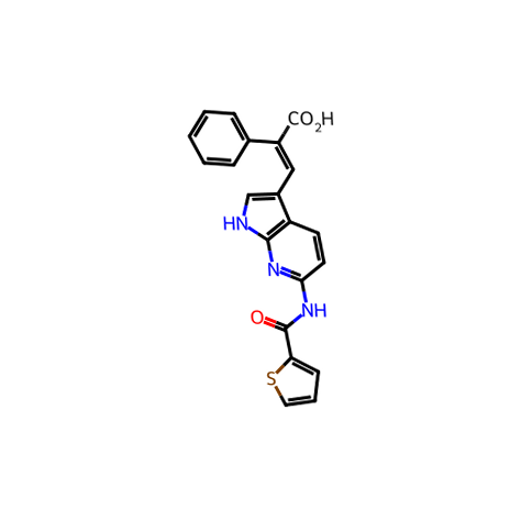 O=C(O)C(=Cc1c[nH]c2nc(NC(=O)c3cccs3)ccc12)c1ccccc1